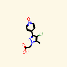 Cc1c(Cl)c(-c2cc[n+]([O-])cc2)nn1CC(=O)O